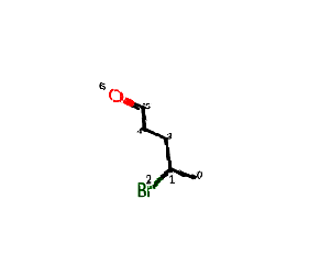 CC(Br)CC[C]=O